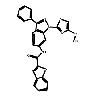 O=COc1csc(-n2nc(-c3ccccc3)c3ccc(NC(=O)c4cc5ccccc5s4)cc32)n1